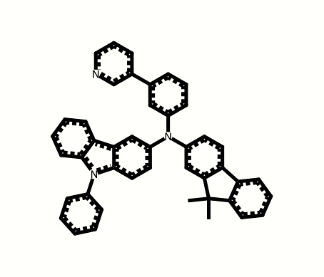 CC1(C)c2ccccc2-c2ccc(N(c3cccc(-c4cccnc4)c3)c3ccc4c(c3)c3ccccc3n4-c3ccccc3)cc21